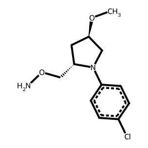 CO[C@@H]1C[C@@H](CON)N(c2ccc(Cl)cc2)C1